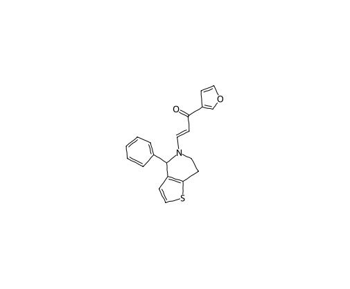 O=C(C=CN1CCc2sccc2C1c1ccccc1)c1ccoc1